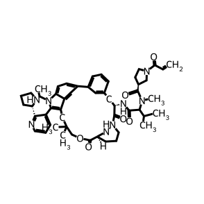 C=CC(=O)N1CC[C@H](C(=O)N(C)C(C(=O)N[C@H]2Cc3cccc(c3)-c3ccc4c(c3)c(c(-c3cccnc3[C@@H]3CCCN3)n4CC)CC(C)(C)COC(=O)[C@@H]3CCCN(N3)C2=O)C(C)C)C1